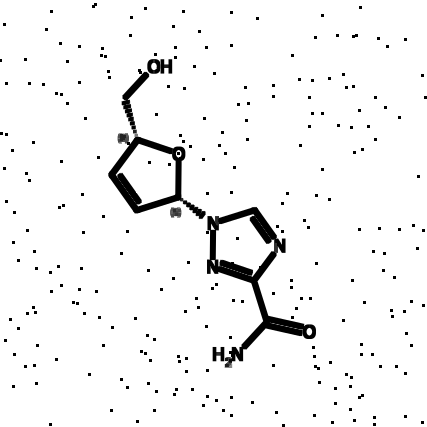 NC(=O)c1ncn([C@@H]2C=C[C@H](CO)O2)n1